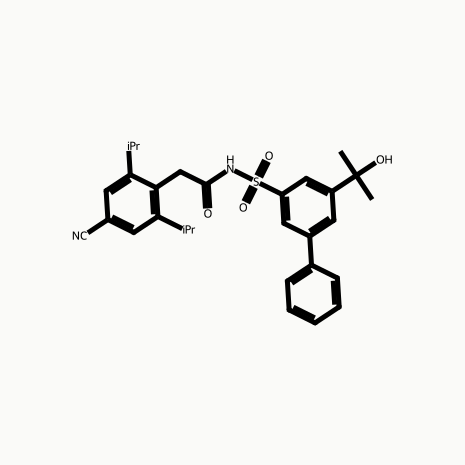 CC(C)c1cc(C#N)cc(C(C)C)c1CC(=O)NS(=O)(=O)c1cc(-c2ccccc2)cc(C(C)(C)O)c1